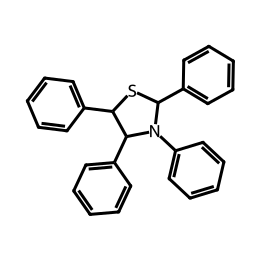 c1ccc(C2SC(c3ccccc3)N(c3ccccc3)C2c2ccccc2)cc1